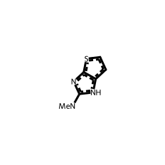 CNc1nc2sccc2[nH]1